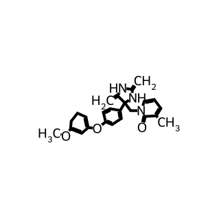 C=C1NC(=C)C(Cn2cccc(C)c2=O)(c2ccc(OC3=CCCC(OC)=C3)cc2)N1